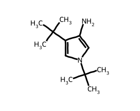 CC(C)(C)c1cn(C(C)(C)C)cc1N